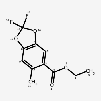 CCOC(=O)c1cc2c(cc1C)OC(F)(F)O2